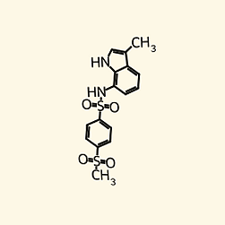 Cc1c[nH]c2c(NS(=O)(=O)c3ccc(S(C)(=O)=O)cc3)cccc12